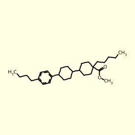 CCCCCC1(C(=O)OC)CCC(C2CCC(c3ccc(CCCC)cc3)CC2)CC1